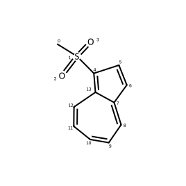 CS(=O)(=O)c1ccc2cccccc1-2